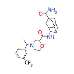 CC(c1cccc(C(F)(F)F)c1)N1CCOC(C(=O)NC2C3CC4CC2CC(C(N)=O)(C4)C3)C1